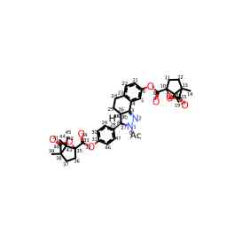 CC(=O)N1N=C2c3cc(OC(=O)C45CCC(C)(C(=O)O4)C5(C)C)ccc3CC[C@@H]2[C@@H]1c1ccc(OC(=O)C23CCC(C)(C(=O)O2)C3(C)C)cc1